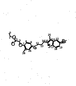 CCOC(=O)COc1ccc(SCCCc2sc3ccc(Br)cc3c2C)cc1C